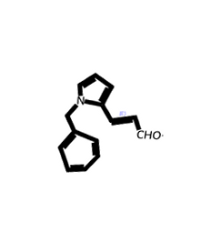 O=[C]/C=C/c1cccn1Cc1ccccc1